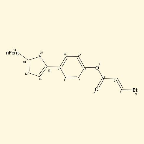 CCC=CC(=O)Oc1ccc(-c2ccc(CCCCC)s2)cc1